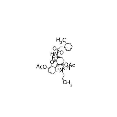 C=CCN1CC[C@]23c4c5ccc(OC(C)=O)c4O[C@H]2[C@H](NS(=O)(=O)Cc2ccccc2C)CC[C@@]3(OC(C)=O)[C@H]1C5